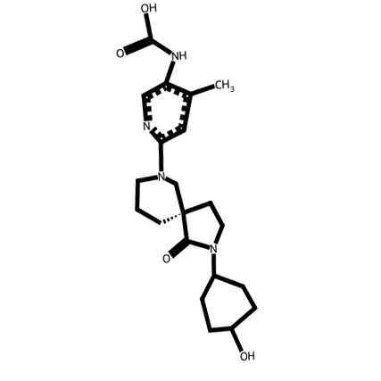 Cc1cc(N2CCC[C@@]3(CCN(C4CCC(O)CC4)C3=O)C2)ncc1NC(=O)O